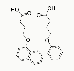 O=C(O)CCCOc1cccc2ccccc12.O=C(O)CCCOc1ccccc1